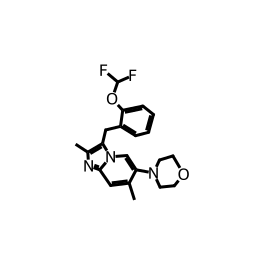 Cc1cc2nc(C)c(Cc3ccccc3OC(F)F)n2cc1N1CCOCC1